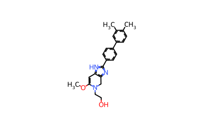 COC1=Cc2[nH]c(-c3ccc(-c4ccc(C)c(C)c4)cc3)nc2CN1CCO